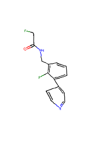 O=C(CF)NCc1cccc(-c2ccncc2)c1F